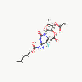 CCCCCOC(=O)Nc1nc(=O)n([C@@H]2O[C@H](C)[C@H](OC(C)=O)C2OC(C)=O)cc1F